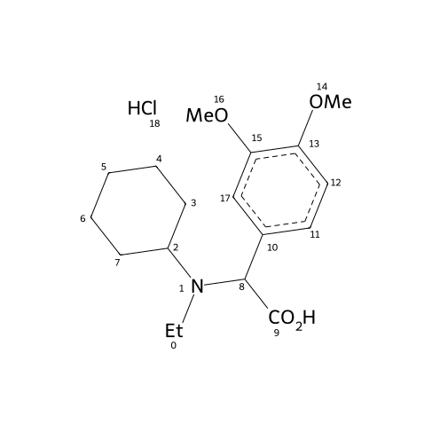 CCN(C1CCCCC1)C(C(=O)O)c1ccc(OC)c(OC)c1.Cl